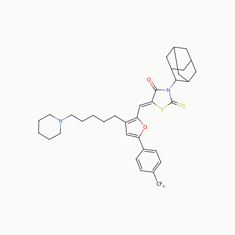 O=C1/C(=C/c2oc(-c3ccc(C(F)(F)F)cc3)cc2CCCCCN2CCCCC2)SC(=S)N1C1C2CC3CC(C2)CC1C3